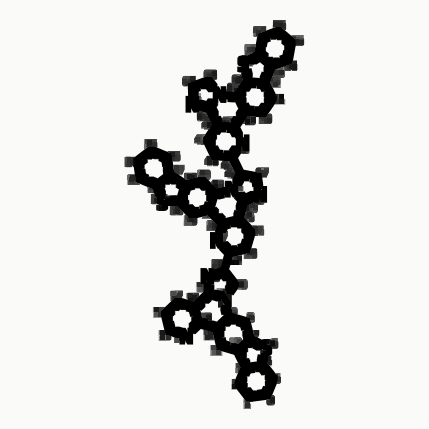 c1ccc2c(c1)sc1cc3c(cc12)c1ncccc1c1nc(-c2ccc4c(n2)c2cc5sc6ccccc6c5cc2n2c(-c5ccc6c(n5)c5ccc7c8ccccc8sc7c5n5ccnc65)cnc42)cn31